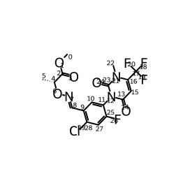 COC(=O)[C@@H](C)O/N=C/c1cc(-n2c(=O)cc(C(F)(F)F)n(C)c2=O)c(F)cc1Cl